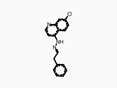 Clc1ccc2c(NN=CCc3ccccc3)ccnc2c1